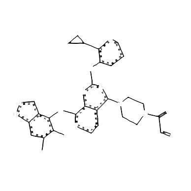 C=CC(=O)N1CCN(c2nc(Oc3cccnc3C3CC3)nc3c(Oc4c(Cl)c(F)cc5[nH]ncc45)nccc23)CC1